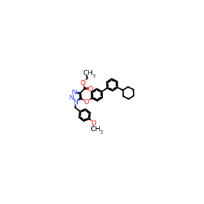 CCOC(=O)c1nnn(Cc2ccc(OC)cc2)c1Oc1ccc(-c2cccc(C3CCCCC3)c2)cc1